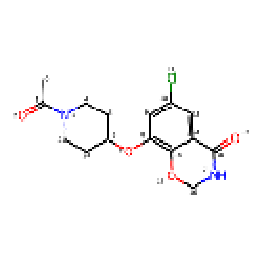 CC(=O)N1CCC(Oc2cc(Cl)cc3c2OCNC3=O)CC1